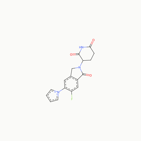 O=C1CCC(N2Cc3cc(-n4cccc4)c(F)cc3C2=O)C(=O)N1